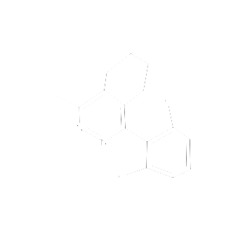 Cc1cccc(C)c1-c1nnc(Cl)c2c1CCCC2